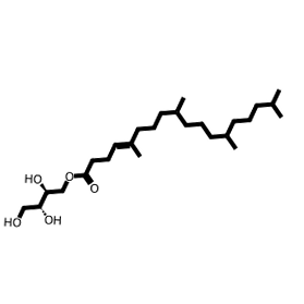 C/C(=C\CCC(=O)OC[C@H](O)[C@H](O)CO)CCCC(C)CCCC(C)CCCC(C)C